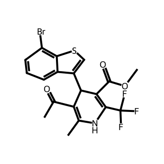 COC(=O)C1=C(C(F)(F)F)NC(C)=C(C(C)=O)C1c1csc2c(Br)cccc12